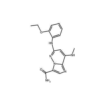 CCOc1ccccc1Nc1cc(NC)c2ncc(C(N)=O)n2n1